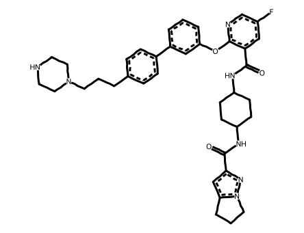 O=C(NC1CCC(NC(=O)c2cc(F)cnc2Oc2cccc(-c3ccc(CCCN4CCNCC4)cc3)c2)CC1)c1cc2n(n1)CCC2